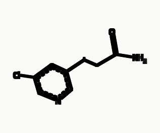 NC(=O)C[CH]c1cncc(Cl)c1